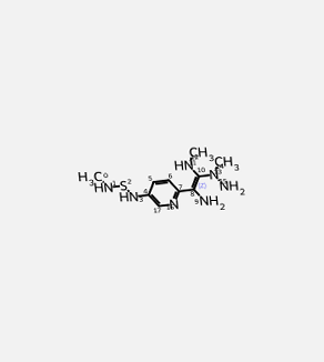 CNSNc1ccc(/C(N)=C(\NC)N(C)N)nc1